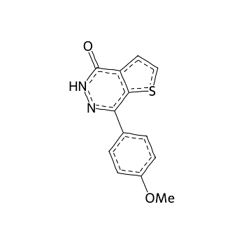 COc1ccc(-c2n[nH]c(=O)c3ccsc23)cc1